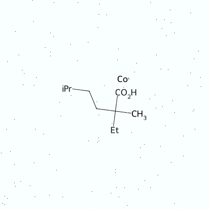 CCC(C)(CCC(C)C)C(=O)O.[Co]